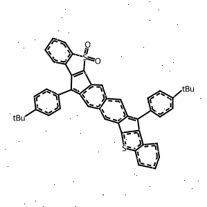 CC(C)(C)c1ccc(C2=c3cc4cc5c(cc4cc3C3=C2c2ccccc2S3(=O)=O)=C(c2ccc(C(C)(C)C)cc2)c2c-5sc3ccccc23)cc1